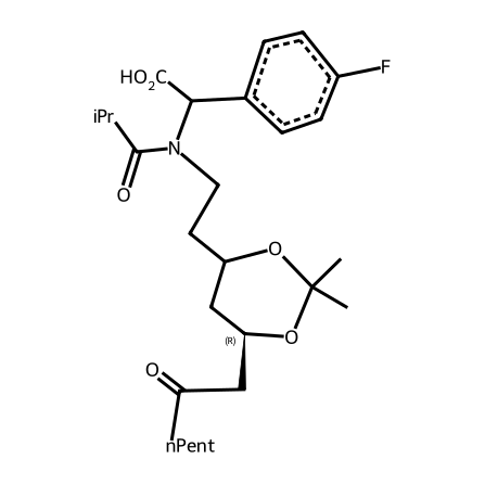 CCCCCC(=O)C[C@H]1CC(CCN(C(=O)C(C)C)C(C(=O)O)c2ccc(F)cc2)OC(C)(C)O1